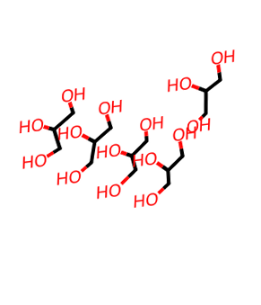 OCC(O)CO.OCC(O)CO.OCC(O)CO.OCC(O)CO.OCC(O)CO